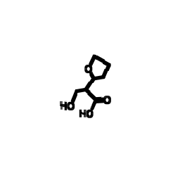 O=C(O)C(CO)C1CCCO1